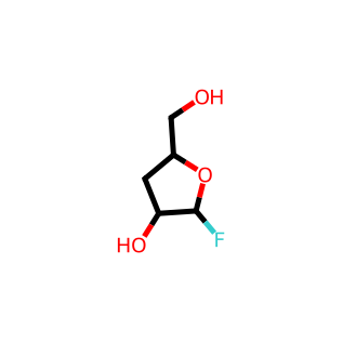 OCC1CC(O)C(F)O1